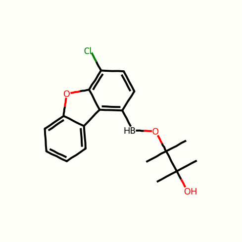 CC(C)(O)C(C)(C)OBc1ccc(Cl)c2oc3ccccc3c12